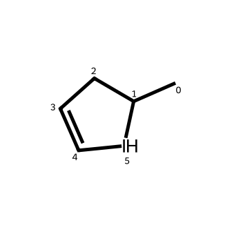 CC1CC=C[IH]1